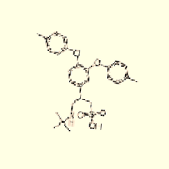 Cc1ccc(Oc2ccc(C(CNC(C)(C)C)CS(=O)(=O)O)cc2Oc2ccc(C)cc2)cc1